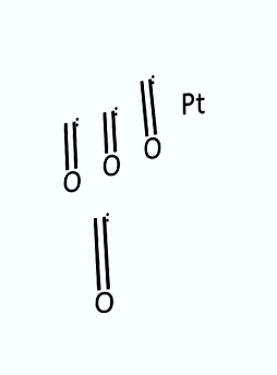 [C]=O.[C]=O.[C]=O.[C]=O.[Pt]